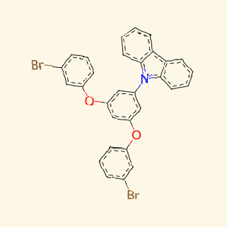 Brc1cccc(Oc2cc(Oc3cccc(Br)c3)cc(-n3c4ccccc4c4ccccc43)c2)c1